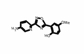 COc1ccc(O)c(-c2nc(-c3ccc(N)cn3)no2)c1